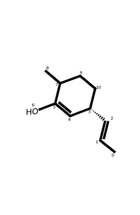 CC=C[C@@H]1C=C(O)C(C)CC1